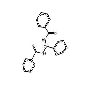 O=C([NH][Ce]([NH]C(=O)c1ccccc1)[c]1ccccc1)c1ccccc1